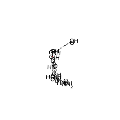 NN[C@@H](CCCCNC(=O)CC[C@H](NC(=O)COCCOCCNC(=O)COCCOCCNC(=O)CC[C@H](NC(=O)CCCCCCCCCCCCCCCCC(=O)O)C(=O)O)C(=O)O)C(=O)O